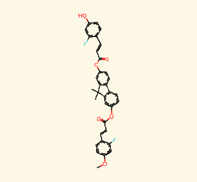 COc1ccc(C=CC(=O)Oc2ccc3c(c2)C(C)(C)c2cc(OC(=O)C=Cc4ccc(O)cc4F)ccc2-3)c(F)c1